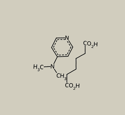 CN(C)c1ccncc1.O=C(O)CCCCC(=O)O